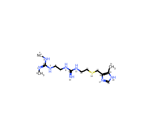 C/N=C(/NC#N)NCCNC(=N)NCCSCc1nc[nH]c1C